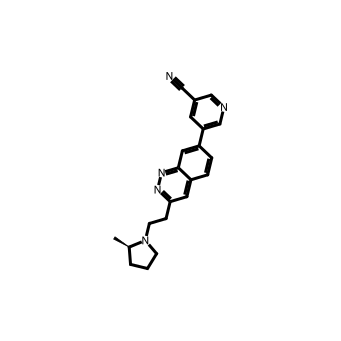 C[C@@H]1CCCN1CCc1cc2ccc(-c3cncc(C#N)c3)cc2nn1